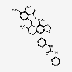 COc1ccc2c(c1OC)C(=O)O[C@@H]2[C@H]1c2c(c(-c3cccc(NC(=O)Nc4ccccc4)c3)c3c(c2OC)OCO3)CCN1C